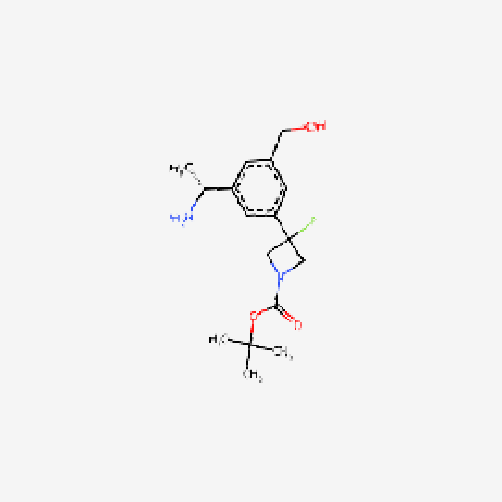 C[C@@H](N)c1cc(CO)cc(C2(F)CN(C(=O)OC(C)(C)C)C2)c1